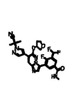 CNC(=O)c1cc(-c2cnc3cc(-c4cnn(C(C)(C)C#N)c4)c(O[C@H]4CCOC4)nn23)c(F)c(C(F)F)c1